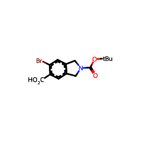 CC(C)(C)OC(=O)N1Cc2cc(Br)c(C(=O)O)cc2C1